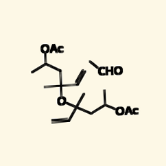 C=CC(C)(CC(C)OC(C)=O)OC(C)(C=C)CC(C)OC(C)=O.CC=O